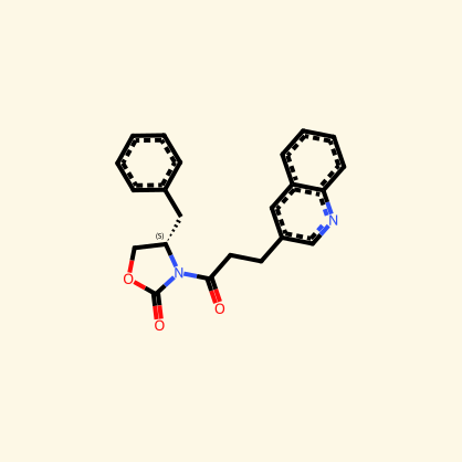 O=C(CCc1cnc2ccccc2c1)N1C(=O)OC[C@@H]1Cc1ccccc1